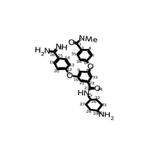 CNC(=O)c1ccc(Oc2cc(Oc3ccc(C(=N)N)cc3)cc(C(=O)NC3CCC(N)CC3)c2)cc1